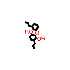 C=CCc1cccc(Oc2cccc(CC=C)c2O)c1O